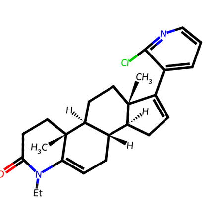 CCN1C(=O)CC[C@@]2(C)C1=CC[C@@H]1[C@@H]2CC[C@]2(C)C(c3cccnc3Cl)=CC[C@@H]12